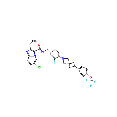 CCc1nc2ccc(Cl)cn2c1C(=O)NC[C@H]1C=C(F)C(N2CC3(CC(c4ccc(OC(F)(F)F)cc4)C3)C2)=CC1